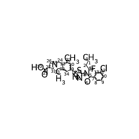 CCCCN(C(=O)c1cccc(Cl)c1F)c1nnc(C2=CC(C)C(CN3CC(C(=O)O)C3)C(C)=C2)s1